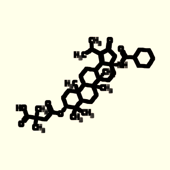 CC(C)C1=C2C3CCC4[C@@]5(C)CC[C@H](OC(=O)CC(C)(C)C(=O)O)C(C)(C)C5CC[C@@]4(C)[C@]3(C)CC[C@@]2(NC(=O)C2CCCCC2)CC1=O